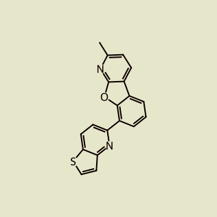 Cc1ccc2c(n1)oc1c(-c3ccc4sccc4n3)cccc12